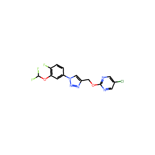 Fc1ccc(-n2cc(COc3ncc(Cl)cn3)nn2)cc1OC(F)F